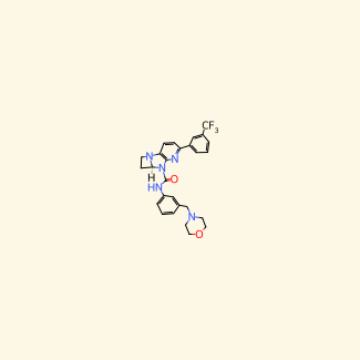 O=C(Nc1cccc(CN2CCOCC2)c1)N1c2nc(-c3cccc(C(F)(F)F)c3)ccc2N2CC[C@@H]21